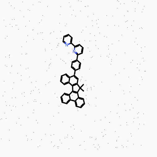 CC1(C)c2cc(-c3ccc(-c4cccc(-c5ccccn5)n4)cc3)c3ccccc3c2-c2c1c1ccccc1c1ccccc21